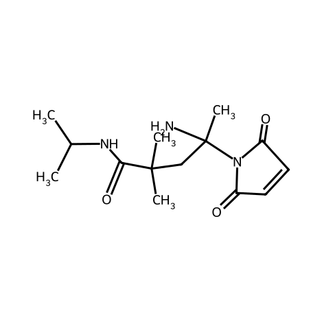 CC(C)NC(=O)C(C)(C)CC(C)(N)N1C(=O)C=CC1=O